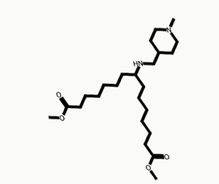 COC(=O)CCCCCCC(CCCCCCC(=O)OC)NCC1CCN(C)CC1